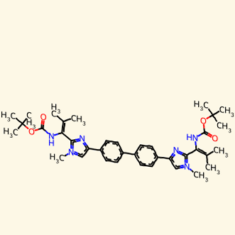 CC(C)=C(NC(=O)OC(C)(C)C)c1nc(-c2ccc(-c3ccc(-c4cn(C)c(C(NC(=O)OC(C)(C)C)=C(C)C)n4)cc3)cc2)cn1C